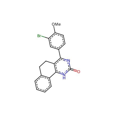 COc1ccc(-c2nc(=O)[nH]c3c2CCc2ccccc2-3)cc1Br